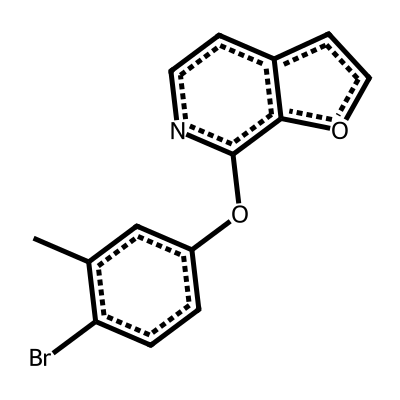 Cc1cc(Oc2nccc3ccoc23)ccc1Br